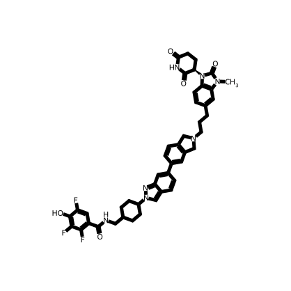 Cn1c(=O)n([C@@H]2CCC(=O)NC2=O)c2ccc(CCCN3Cc4ccc(-c5ccc6cn(C7CCC(CNC(=O)c8cc(F)c(O)c(F)c8F)CC7)nc6c5)cc4C3)cc21